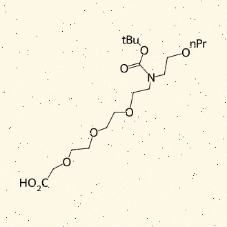 CCCOCCN(CCOCCOCCOCC(=O)O)C(=O)OC(C)(C)C